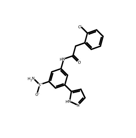 N[S+]([O-])c1cc(NC(=O)Cc2ccccc2Cl)cc(-c2ccn[nH]2)c1